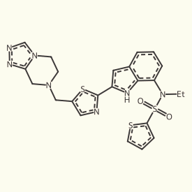 CCN(c1cccc2cc(-c3ncc(CN4CCn5cnnc5C4)s3)[nH]c12)S(=O)(=O)c1cccs1